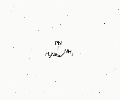 NC=[NH2+].[I-].[Pb]